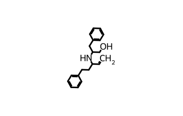 C=CC(CCc1ccccc1)NC(CO)Cc1ccccc1